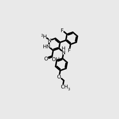 [2H]N1C=C(c2c(F)cccc2F)C(Nc2ccc(OCC)cc2)=C(C(=O)O)N1